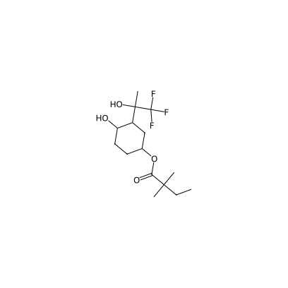 CCC(C)(C)C(=O)OC1CCC(O)C(C(C)(O)C(F)(F)F)C1